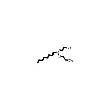 CCCCCCC=CN(OCCO)OCCO